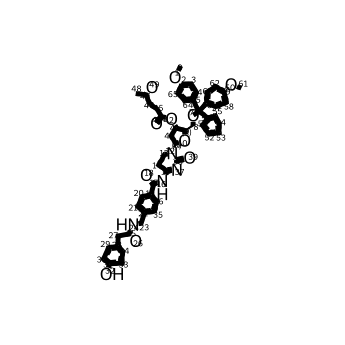 COc1ccc(C(OC[C@H]2O[C@@H](N3CCC(NC(=O)c4ccc(CNC(=O)Cc5ccc(O)cc5)cc4)=NC3=O)CC2OC(=O)CCC(C)=O)(c2ccccc2)c2ccc(OC)cc2)cc1